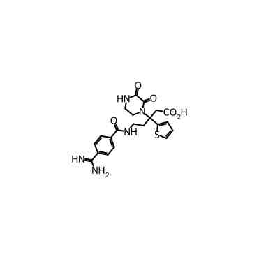 N=C(N)c1ccc(C(=O)NCCC(CC(=O)O)(c2cccs2)N2CCNC(=O)C2=O)cc1